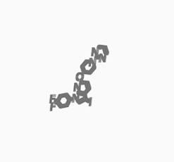 FC1(F)CCC(n2cc(I)c3ccc(OC4CCN(c5ncccn5)CC4)nc32)CC1